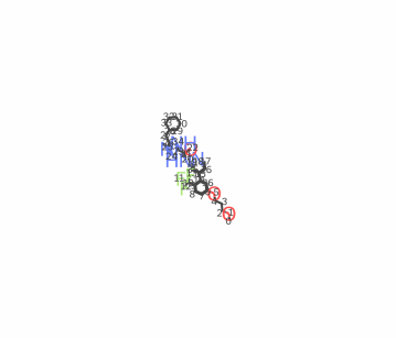 COCCCOc1ccc(C(F)(F)F)c(-c2ccnc(NC(=O)c3nnc(CC4CCCCC4)[nH]3)c2)c1